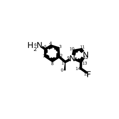 C[C@@H](c1ccc(N)cc1)n1ccnc1CF